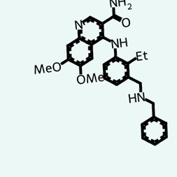 CCc1c(CNCc2ccccc2)cccc1Nc1c(C(N)=O)cnc2cc(OC)c(OC)cc12